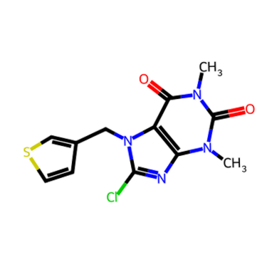 Cn1c(=O)c2c(nc(Cl)n2Cc2ccsc2)n(C)c1=O